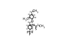 CCC(=S)Nc1cc(C(F)(F)F)ccc1COc1ccc(CC)cc1C